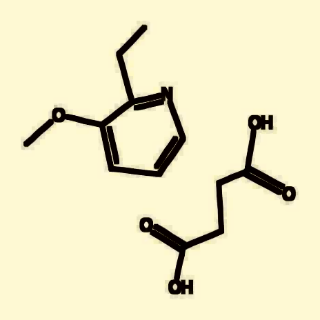 CCc1ncccc1OC.O=C(O)CCC(=O)O